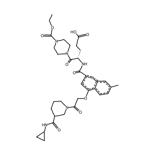 CCOC(=O)N1CCN(C(=O)[C@H](CCC(=O)O)NC(=O)c2cc(OCC(=O)N3CCCC(C(=O)NC4CC4)C3)c3ccc(C)cc3n2)CC1